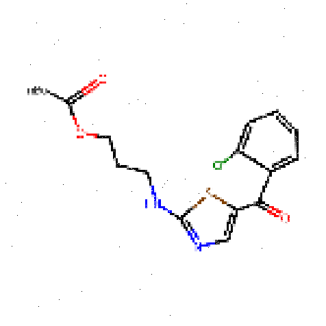 CCCCC(=O)OCCCNc1ncc(C(=O)c2ccccc2Cl)s1